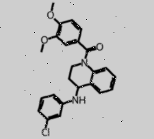 COc1ccc(C(=O)N2CCC(Nc3cccc(Cl)c3)c3ccccc32)cc1OC